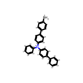 Bc1ccc(-c2ccc(N(c3ccccc3)c3ccc(-c4ccccc4)cc3)cc2)cc1